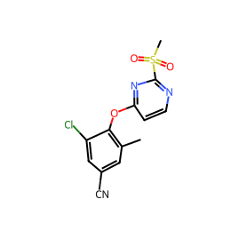 Cc1cc(C#N)cc(Cl)c1Oc1ccnc(S(C)(=O)=O)n1